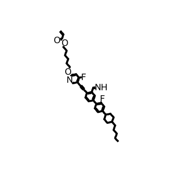 C=CC(=O)OCCCCCCOc1cc(F)c(C#Cc2ccc(-c3ccc(C4CCC(CCCCC)CC4)cc3F)cc2C=N)cn1